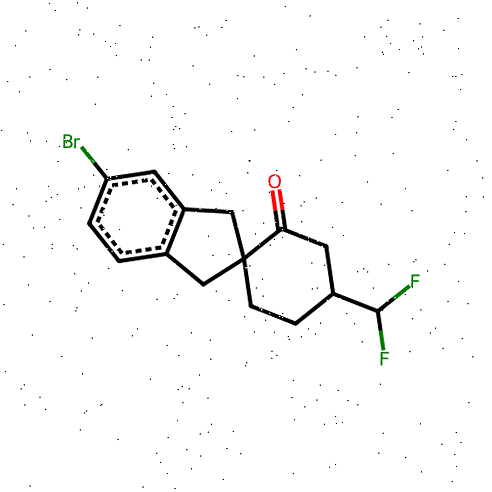 O=C1CC(C(F)F)CCC12Cc1ccc(Br)cc1C2